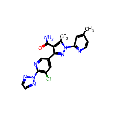 Cc1ccnc(-n2nc(-c3cnc(-n4nccn4)c(Cl)c3)c(C(N)=O)c2C(F)(F)F)c1